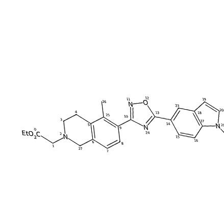 CCOC(=O)CN1CCc2c(ccc(-c3noc(-c4ccc5c(ccn5C(C)C)c4)n3)c2C)C1